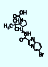 CC(C)(C)C1C(CNC(=O)c2cn3cc(Br)ccc3n2)CCN1C(=O)O